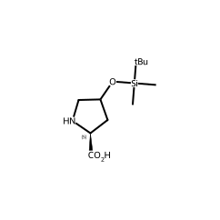 CC(C)(C)[Si](C)(C)OC1CN[C@H](C(=O)O)C1